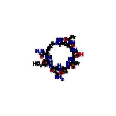 CC(C)C(=O)N[C@@H]1Cc2cn(nn2)CCCC[C@@H](C(N)=O)NC(=O)[C@@H](CC(=O)O)NC(=O)[C@@H](CC(N)=O)NC(=O)[C@@H](C)NC(=O)C(C(C)C)NC(=O)[C@@H](CO)NC1=O